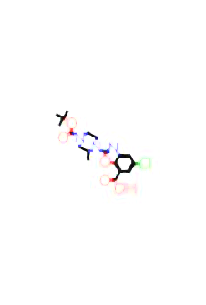 CC1CN(C(=O)OC(C)(C)C)CCN1c1nc2cc(Cl)cc(C(=O)O)c2o1